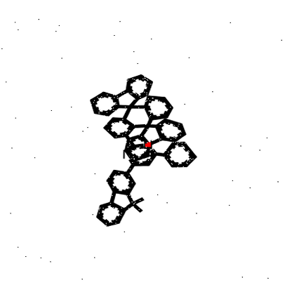 CC1(C)c2ccccc2-c2ccc(-c3cc(-c4ccccc4)nc(-c4cccc5c4C4(c6ccccc6-c6ccccc64)c4ccccc4C54c5ccccc5-c5ccccc54)n3)cc21